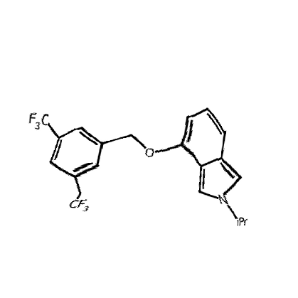 CC(C)n1cc2cccc(OCc3cc(C(F)(F)F)cc(C(F)(F)F)c3)c2c1